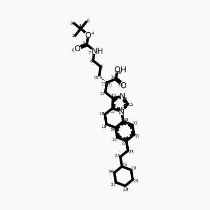 CC(C)(C)OC(=O)NCCC[C@@H](Cc1ncn2c1CCc1cc(CCC3CCCCC3)ccc1-2)C(=O)O